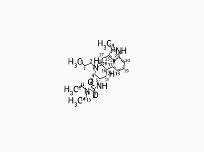 CCCN1C[C@@H](NS(=O)(=O)N(CC)CC)C[C@@H]2c3cccc4[nH]c(C)c(c34)C[C@H]21